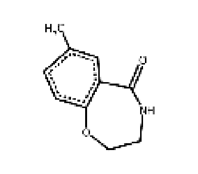 Cc1ccc2c(c1)C(=O)NCCO2